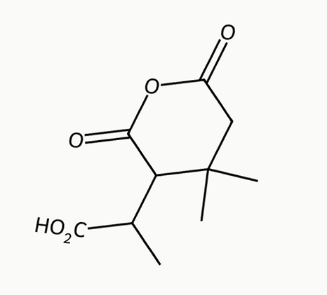 CC(C(=O)O)C1C(=O)OC(=O)CC1(C)C